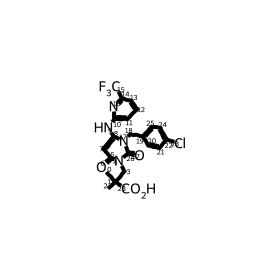 CC(C)(Cn1c(=O)cc(Nc2cccc(C(F)(F)F)n2)n(Cc2ccc(Cl)cc2)c1=O)C(=O)O